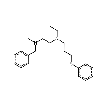 CCN(CCCSc1ccccc1)CCN(C)Cc1ccccc1